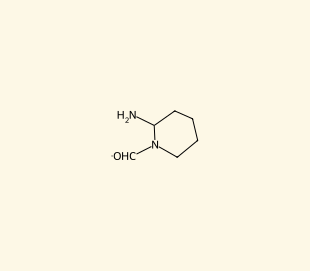 NC1CCCCN1[C]=O